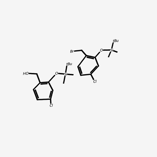 CC(C)(C)[Si](C)(C)Oc1cc(Cl)ccc1CBr.CC(C)(C)[Si](C)(C)Oc1cc(Cl)ccc1CO